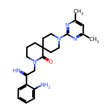 Cc1cc(C)nc(N2CCC3(CCCN(CC(=N)c4ccccc4N)C3=O)CC2)n1